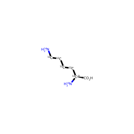 [14NH2][12CH2][12CH2][12CH2][12CH2][12C@H]([14NH2])[12C](=O)O